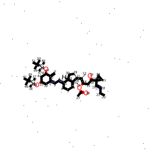 C=C1/C(=C\C=C2/CCC[C@]3(C)[C@@H]([C@H](C)C(CC(=O)C4(/C=C/CC)CC4)OC(C)=O)CC[C@@H]23)CC(O[Si](C)(C)C(C)(C)C)CC1O[Si](C)(C)C(C)(C)C